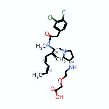 C=C(/C=C\C=C/C)[C@@H](CN1CC[C@H](NCCOCC(=O)O)C1)N(C)C(=O)Cc1ccc(Cl)c(Cl)c1